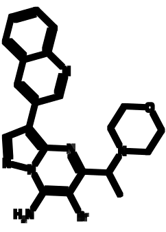 CC(c1nc2c(-c3cnc4ccccc4c3)cnn2c(N)c1Br)N1CCOCC1